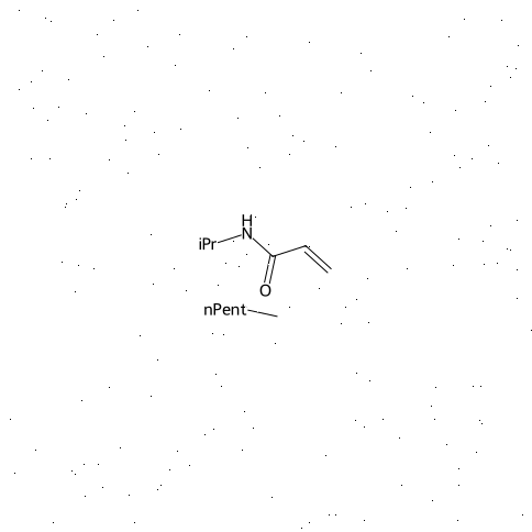 C=CC(=O)NC(C)C.CCCCCC